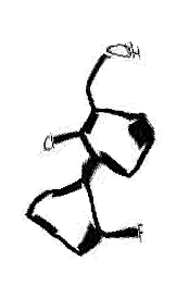 OCc1cccc(-c2ccccc2F)c1Cl